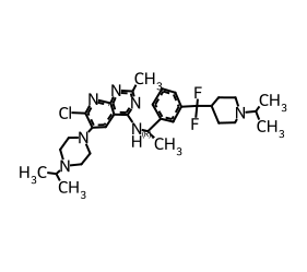 Cc1nc(N[C@H](C)c2cccc(C(F)(F)C3CCN(C(C)C)CC3)c2)c2cc(N3CCN(C(C)C)CC3)c(Cl)nc2n1